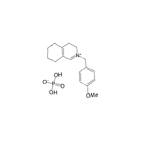 COc1ccc(C[N+]2=CC3=C(CCCC3)CC2)cc1.O=P([O-])(O)O